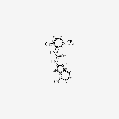 O=C(Nc1nc2c(Cl)cccc2s1)Nc1cc(C(F)(F)F)ccc1Cl